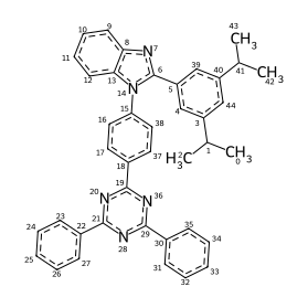 CC(C)c1cc(-c2nc3ccccc3n2-c2ccc(-c3nc(-c4ccccc4)nc(-c4ccccc4)n3)cc2)cc(C(C)C)c1